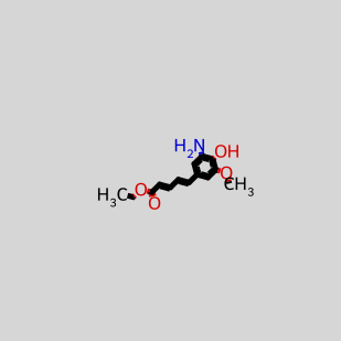 CCOC(=O)/C=C/C=C/c1cc(N)c(O)c(OC)c1